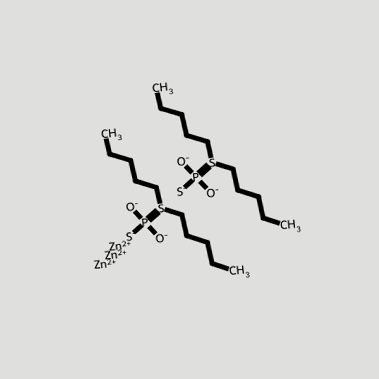 CCCCCS(CCCCC)=P([O-])([O-])[S-].CCCCCS(CCCCC)=P([O-])([O-])[S-].[Zn+2].[Zn+2].[Zn+2]